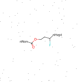 CCCCCCCCCC(=O)OCCC(F)CCCCCCC